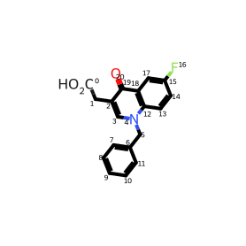 O=C(O)Cc1cn(Cc2ccccc2)c2ccc(F)cc2c1=O